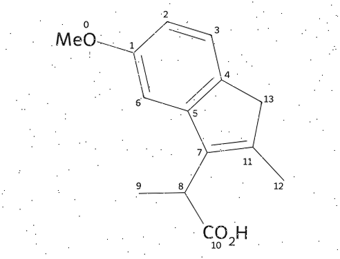 COc1ccc2c(c1)C(C(C)C(=O)O)=C(C)C2